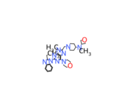 CCc1nc2ccccc2n1-c1nc(N2CCOCC2)c2nc(CN3CCC(N(C)C4COC4)CC3)n(C)c2n1